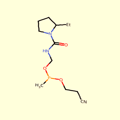 CCC1CCCN1C(=O)NCOP(C)OCCC#N